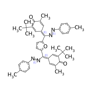 CC1=C/C(=C(\N=N\c2ccc(C)cc2)c2ccc(C(/N=N/c3ccc(C)cc3)=C3/C=C(C)C(=O)C(C(C)(C)C)=C3)o2)C=C(C(C)(C)C)C1=O